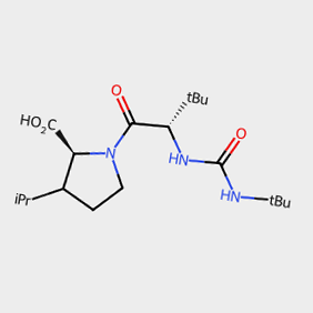 CC(C)C1CCN(C(=O)[C@@H](NC(=O)NC(C)(C)C)C(C)(C)C)[C@@H]1C(=O)O